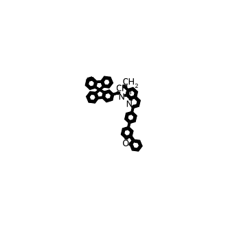 C=Cc1ccc2ccc(-c3ccc(-c4ccc5oc6ccccc6c5c4)cc3)nc2c1/N=C(\C)c1ccc2c(c1)C1(c3ccc#cc3-c3ccccc31)c1ccccc1-2